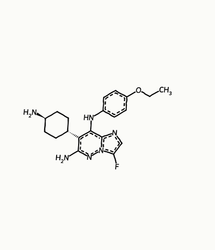 CCOc1ccc(Nc2c3ncc(F)n3nc(N)c2[C@H]2CC[C@H](N)CC2)cc1